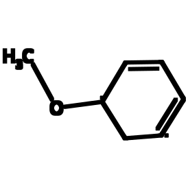 CO[C]1C=CC=[C]C1